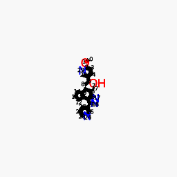 COc1ccc(C(O)C[C@H]2C3=C(CCC3)C3=C(N=N[C@H]3c3cccnc3)[C@@H]2C)cn1